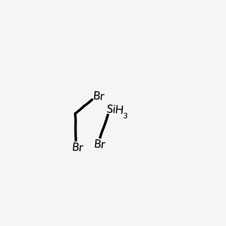 BrCBr.[SiH3]Br